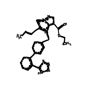 CCCc1cn2ncc(C(=O)OCC)c2n1Cc1ccc(-c2ccccc2-c2nnn[nH]2)cc1